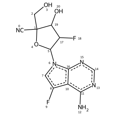 N#CC1(CO)OC(n2cc(F)c3c(N)ncnc32)C(F)C1O